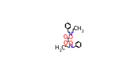 C=CCN(Cc1ccccc1)OC(=O)C(=O)ON(CC=C)Cc1ccccc1